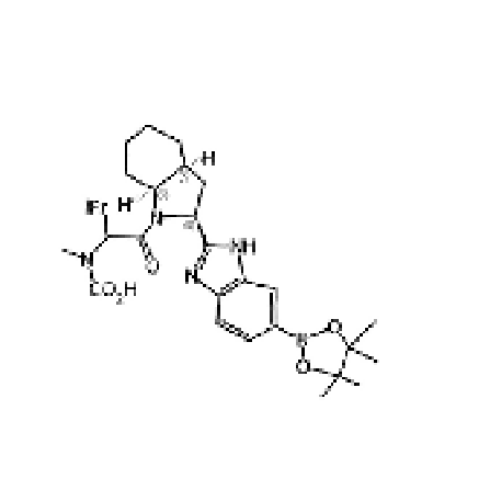 CC(C)C(C(=O)N1[C@H](c2nc3ccc(B4OC(C)(C)C(C)(C)O4)cc3[nH]2)C[C@@H]2CCCC[C@@H]21)N(C)C(=O)O